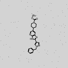 CC(C)(C)OC(=O)N1CCC(c2cnc3[nH]c(-c4cnn(Cc5ccccc5)c4)nc3c2)CC1